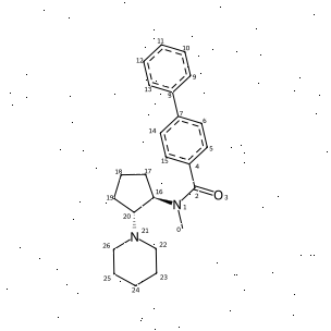 CN(C(=O)c1ccc(-c2ccccc2)cc1)[C@@H]1CCC[C@H]1N1CCCCC1